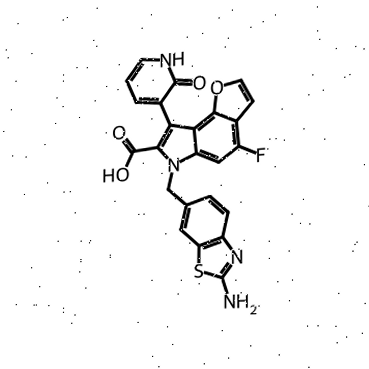 Nc1nc2ccc(Cn3c(C(=O)O)c(-c4ccc[nH]c4=O)c4c5occc5c(F)cc43)cc2s1